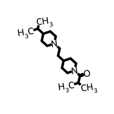 CC(C)C(=O)N1CCC(CCN2CCC(C(C)C)CC2)CC1